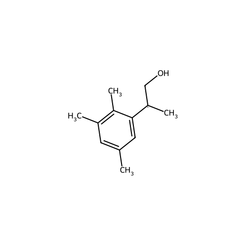 C[C](CO)c1cc(C)cc(C)c1C